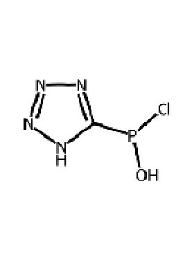 OP(Cl)c1nnn[nH]1